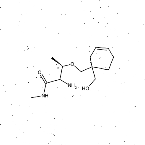 CNC(=O)C(N)[C@@H](C)OCC1(CO)CC=CCC1